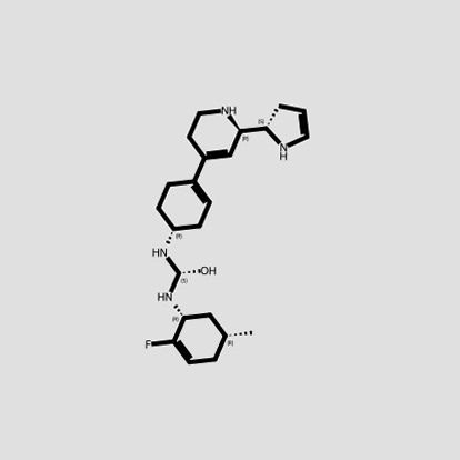 C[C@@H]1CC=C(F)[C@H](N[C@@H](O)N[C@H]2CC=C(C3=C[C@H]([C@@H]4CC=CN4)NCC3)CC2)C1